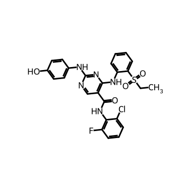 CCS(=O)(=O)c1ccccc1Nc1nc(Nc2ccc(O)cc2)ncc1C(=O)Nc1c(F)cccc1Cl